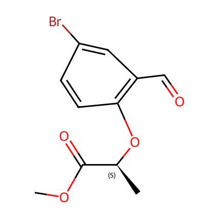 COC(=O)[C@H](C)Oc1ccc(Br)cc1C=O